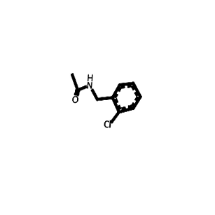 CC(=O)NCc1ccccc1Cl